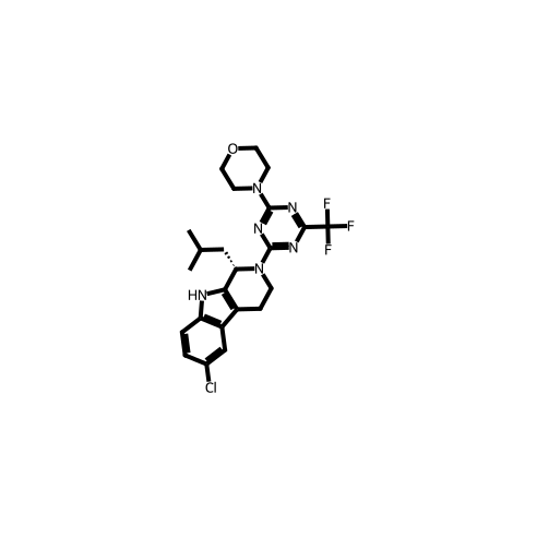 CC(C)C[C@H]1c2[nH]c3ccc(Cl)cc3c2CCN1c1nc(N2CCOCC2)nc(C(F)(F)F)n1